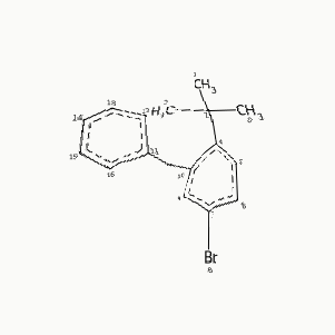 CC(C)(C)c1ccc(Br)cc1-c1ccccc1